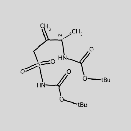 C=C(CS(=O)(=O)NC(=O)OC(C)(C)C)[C@H](C)NC(=O)OC(C)(C)C